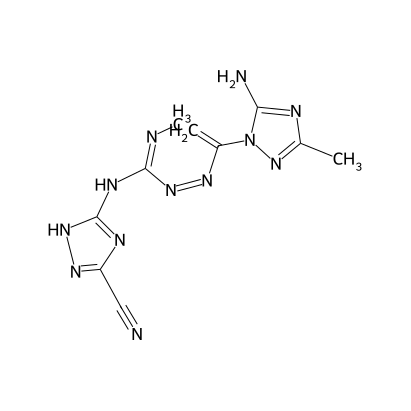 C=C(/N=N\C(=N/C)Nc1nc(C#N)n[nH]1)n1nc(C)nc1N